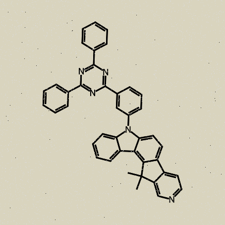 CC1(C)c2cnccc2-c2ccc3c(c21)c1ccccc1n3-c1cccc(-c2nc(-c3ccccc3)nc(-c3ccccc3)n2)c1